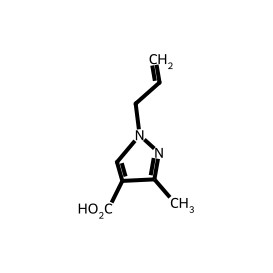 C=CCn1cc(C(=O)O)c(C)n1